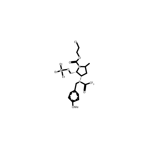 CC[Si](CC)(CC)OC[C@H]1[C@@H](N(Cc2ccc(OC)cc2)C(=O)C(F)(F)F)CC(C)N1C(=O)OCCCl